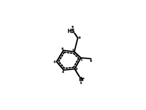 Cc1c(Br)cccc1CS